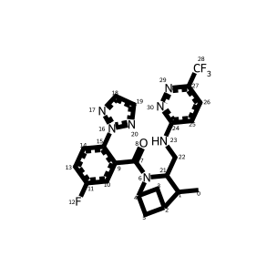 CC1C2CC(C2)N(C(=O)c2cc(F)ccc2-n2nccn2)C1CNc1ccc(C(F)(F)F)nn1